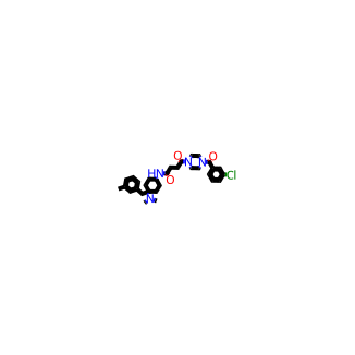 Cc1cccc(CC2(N(C)C)CCC(NC(=O)CCC(=O)N3CCN(C(=O)c4cccc(Cl)c4)CC3)CC2)c1